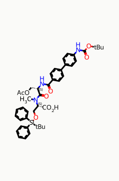 CC(=O)OC[C@H](NC(=O)c1ccc(-c2ccc(NC(=O)OC(C)(C)C)cc2)cc1)C(=O)N(C)[C@@H](CO[Si](c1ccccc1)(c1ccccc1)C(C)(C)C)C(=O)O